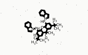 CC(C)(C)c1cc(Pn2ccc3ccccc32)c2c(c1)C(C)(C)c1cc(C(C)(C)C)cc(Pn3ccc4ccccc43)c1O2